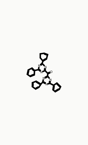 O=C(c1nc(C2=CC=CCC2)nc(-c2ccccc2)n1)c1nc(-c2ccccc2)nc(-c2ccccc2)n1